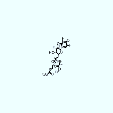 CC(C)OC(=O)[C@@H](C)N[P@](=O)(OCCSC(=O)C(C)(C)C)OC[C@H]1O[C@@H](n2cc(F)c(=O)[nH]c2=O)[C@](F)(Cl)[C@@H]1O